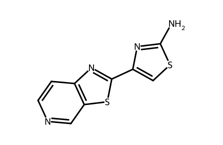 Nc1nc(-c2nc3ccncc3s2)cs1